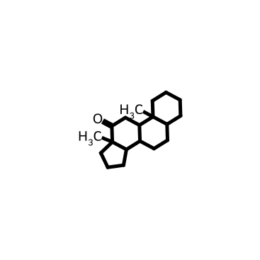 CC12CCCC1C1CCC3CCCCC3(C)C1CC2=O